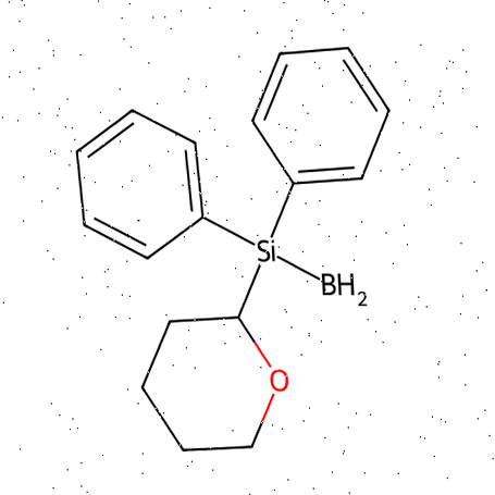 B[Si](c1ccccc1)(c1ccccc1)C1CCCCO1